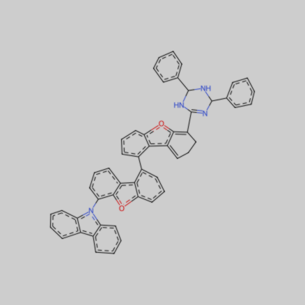 C1=c2c(oc3cccc(-c4cccc5oc6c(-n7c8ccccc8c8ccccc87)cccc6c45)c23)=C(C2=NC(c3ccccc3)NC(c3ccccc3)N2)CC1